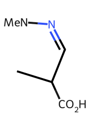 CN/N=C\C(C)C(=O)O